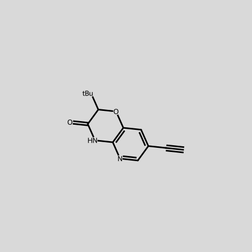 C#Cc1cnc2c(c1)OC(C(C)(C)C)C(=O)N2